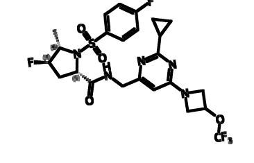 C[C@H]1[C@H](F)C[C@@H](C(=O)NCc2cc(N3CC(OC(F)(F)F)C3)nc(C3CC3)n2)N1S(=O)(=O)c1ccc(F)cc1